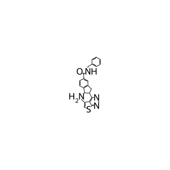 Cc1csc2ncnc(C3Cc4cc(C(=O)NCc5ccccc5)ccc4C3N)c12